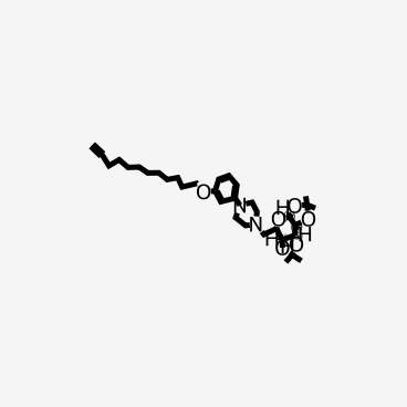 C#CCCCCCCCCCCOc1cccc(N2CCN(CC3O[C@@H]4OC(C)(C)O[C@@H]4[C@H]4OC(C)(C)O[C@@H]34)CC2)c1